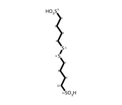 O=S(=O)(O)CCCCSSCCCCS(=O)(=O)O